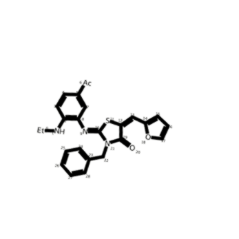 CCNc1ccc(C(C)=O)cc1N=C1SC(=Cc2ccco2)C(=O)N1Cc1ccccc1